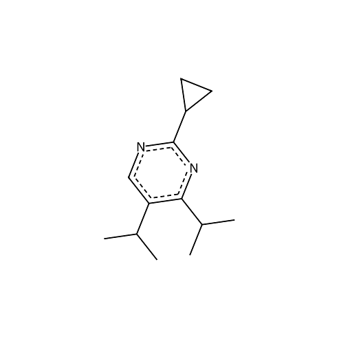 CC(C)c1cnc(C2CC2)nc1C(C)C